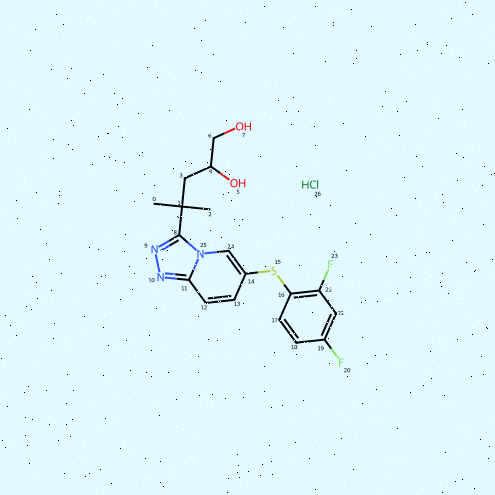 CC(C)(CC(O)CO)c1nnc2ccc(Sc3ccc(F)cc3F)cn12.Cl